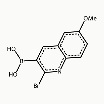 COc1ccc2nc(Br)c(B(O)O)cc2c1